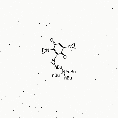 CCCC[N+](CCCC)(CCCC)CCCC.O=C1C=C(N2CC2)C(=O)C(N2CC2)=C1N1CC1